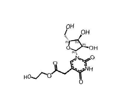 O=C(Cc1cn([C@@H]2O[C@H](CO)[C@@H](O)[C@H]2O)c(=O)[nH]c1=O)OCCO